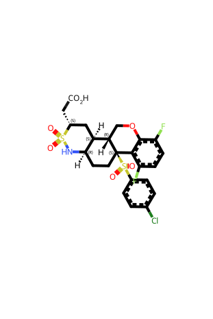 O=C(O)C[C@@H]1C[C@@H]2[C@@H](CC[C@@]3(S(=O)(=O)c4ccc(Cl)cc4)c4c(F)ccc(F)c4OC[C@@H]23)NS1(=O)=O